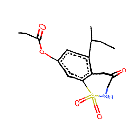 CC(=O)Oc1cc(C(C)C)c2c(c1)S(=O)(=O)NC2=O